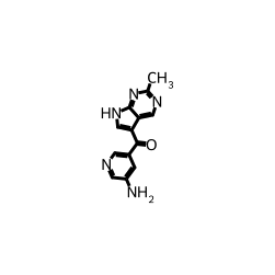 Cc1ncc2c(C(=O)c3cncc(N)c3)c[nH]c2n1